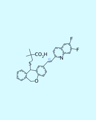 CC(C)(CSC1c2ccccc2COc2ccc(/C=C/c3ccc4cc(F)c(F)cc4n3)cc21)C(=O)O